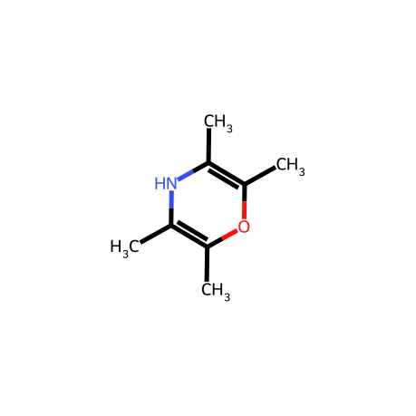 CC1=C(C)OC(C)=C(C)N1